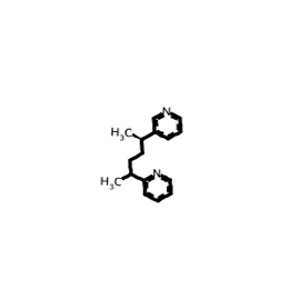 CC(CC[C@@H](C)c1cccnc1)c1ccccn1